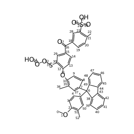 COc1ccc(C2(c3ccc(Oc4ccc(C(=O)c5ccc(C)c(S(=O)(=O)O)c5)cc4SOOO)c(C)c3)c3ccccc3-c3ccccc32)cc1C